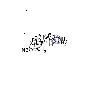 Cc1cc(C#N)ccc1[S+]([O-])C(F)(F)C1CCN(C(=O)NC(/C=C\N)=C/N)CC1